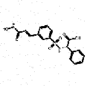 O=C(/C=C/c1cccc(S(=O)(=O)N[C@H](C(=O)O)c2ccccc2)c1)NO